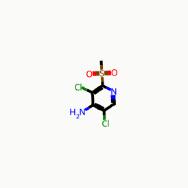 CS(=O)(=O)c1ncc(Cl)c(N)c1Cl